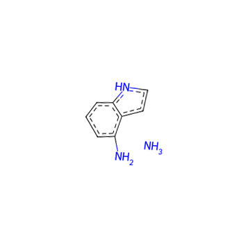 N.Nc1cccc2[nH]ccc12